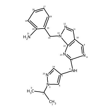 CC(C)n1cc(Nc2ncc3cnn(Cc4ccccc4N)c3n2)cn1